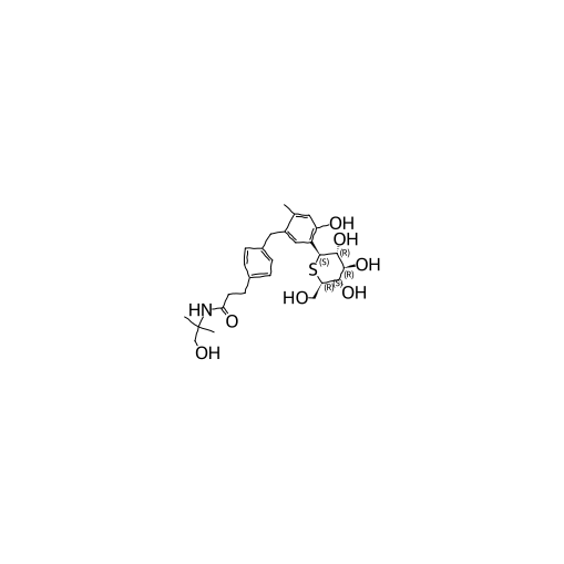 Cc1cc(O)c([C@@H]2S[C@H](CO)[C@@H](O)[C@H](O)[C@H]2O)cc1Cc1ccc(CCC(=O)NC(C)(C)CO)cc1